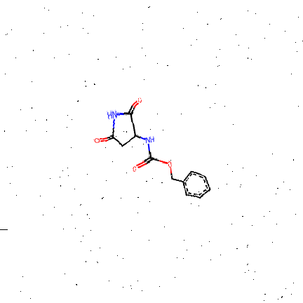 O=C1CC(NC(=O)OCc2ccccc2)C(=O)N1